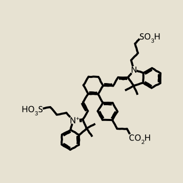 CC1(C)C(/C=C/C2=C(c3ccc(CCC(=O)O)cc3)C(=C/C=C3/N(CCCS(=O)(=O)O)c4ccccc4C3(C)C)/CCC2)=[N+](CCCS(=O)(=O)O)c2ccccc21